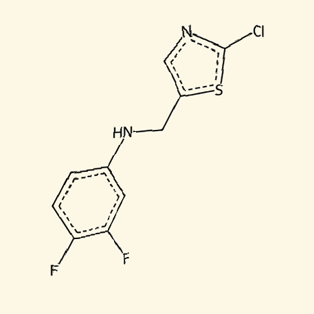 Fc1ccc(NCc2cnc(Cl)s2)cc1F